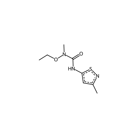 CCON(C)C(=O)Nc1cc(C)ns1